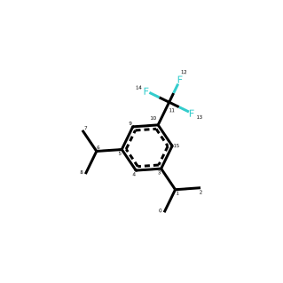 CC(C)c1cc(C(C)C)cc(C(F)(F)F)c1